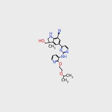 CC(C)OCCOc1ncccc1Nc1nccc(-c2cc(C#N)c3c(c2)[C@@](C)(CO)CN3)n1